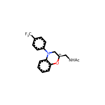 CC(=O)NC[C@@H]1CN(c2ccc(C(F)(F)F)cc2)c2ccccc2O1